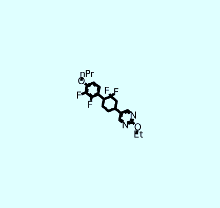 CCCOc1ccc(C2CCC(c3cnc(OCC)nc3)CC2(F)F)c(F)c1F